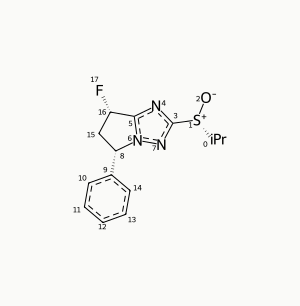 CC(C)[S@@+]([O-])c1nc2n(n1)[C@H](c1ccccc1)C[C@@H]2F